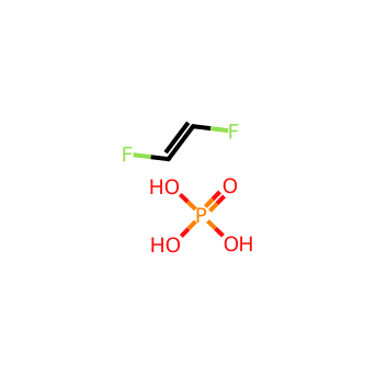 FC=CF.O=P(O)(O)O